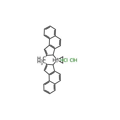 CC1=Cc2c(ccc3ccccc23)[CH]1[Hf]1([CH]2C(C)=Cc3c2ccc2ccccc32)[CH2][CH2]1.Cl.Cl